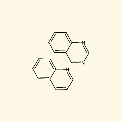 c1ccc2ncccc2c1.c1ccc2ncncc2c1